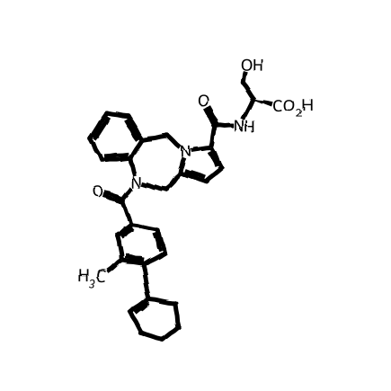 Cc1cc(C(=O)N2Cc3ccc(C(=O)N[C@@H](CO)C(=O)O)n3Cc3ccccc32)ccc1C1=CCCCC1